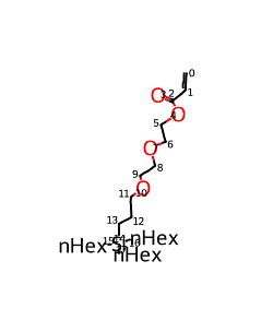 C=CC(=O)OCCOCCOCCC[Si](CCCCCC)(CCCCCC)CCCCCC